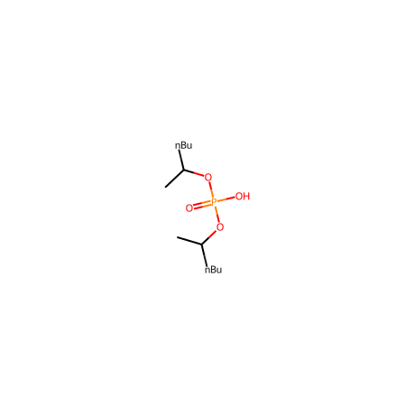 CCCCC(C)OP(=O)(O)OC(C)CCCC